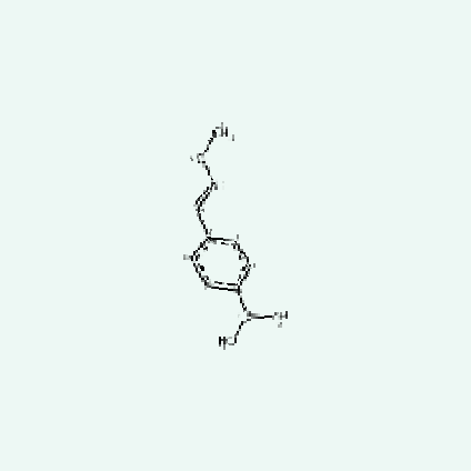 CON=Cc1ccc(B(O)O)cc1